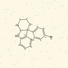 OC1[N]CCOC1(c1ccc(Br)cc1)c1ccccn1